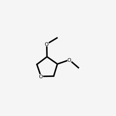 COC1COCC1OC